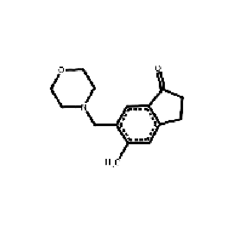 Cc1cc2c(cc1CN1CCOCC1)C(=O)CC2